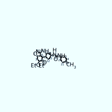 CCOc1cc2onc(N)c2c(-c2ccc(NC(=O)Nc3ccc(C)cc3)cc2)c1OCC